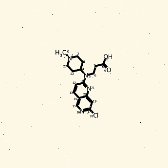 CN1CCC(N(CCC(=O)O)c2ccc3cnc(Cl)cc3n2)CC1